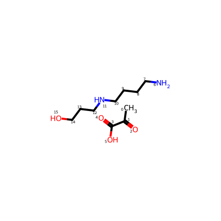 CC(=O)C(=O)O.NCCCCNCCCO